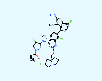 C=CC(=O)N1C[C@@H](F)[C@@H](N(C)c2nc(OC[C@@]34CCCN3C[C@H](F)C4)nc3c(F)c(-c4ccc(F)c5sc(N)c(C#N)c45)ccc23)C1